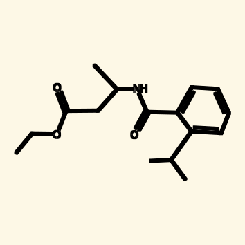 CCOC(=O)CC(C)NC(=O)c1ccccc1C(C)C